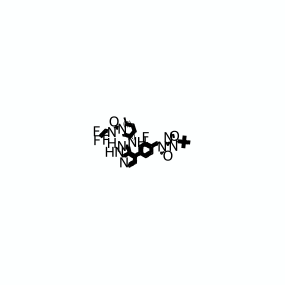 C[C@H]1CC[C@@H](Nc2n[nH]c3nccc(-c4ccc(CN(C=O)c5noc(C(C)(C)C)n5)c(F)c4)c23)CN1C(=O)NCC(F)(F)F